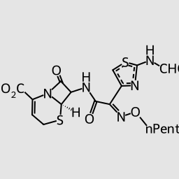 CCCCCO/N=C(/C(=O)NC1C(=O)N2C(C(=O)O)=CCS[C@H]12)c1csc(NC=O)n1